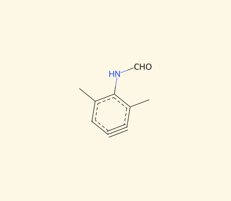 Cc1c#ccc(C)c1NC=O